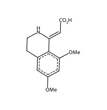 COc1cc2c(c(OC)c1)/C(=C/C(=O)O)NCC2